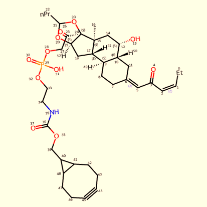 CC/C=C\C(=O)/C=C1/CC[C@@H]2[C@@H](C1)[C@@H](O)C[C@@]1(C)[C@H]2C[C@H]2OC(CCC)O[C@]21C(=O)COP(=O)(O)OCCNC(=O)OCC1C2CCC#CCCC21